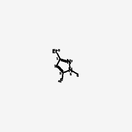 CCc1[c]c(F)n(C)n1